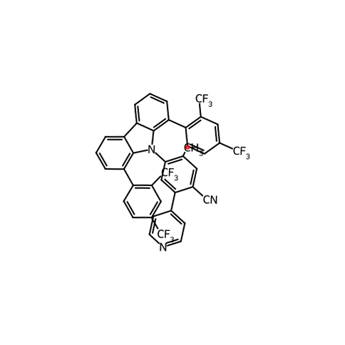 Cc1cc(C#N)c(-c2ccncc2)cc1-n1c2c(-c3ccc(C(F)(F)F)cc3C(F)(F)F)cccc2c2cccc(-c3ccc(C(F)(F)F)cc3C(F)(F)F)c21